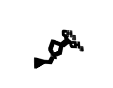 CC(C)=C1CCN(CC2CC2)C1